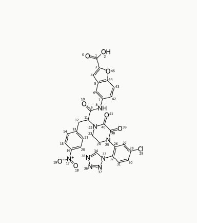 O=C(O)c1cc2cc(NC(=O)C(Cc3ccc([N+](=O)[O-])cc3)N3CCN(c4cc(Cl)ccc4-n4cnnn4)C(=O)C3=O)ccc2o1